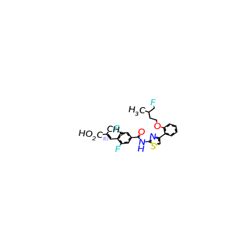 C/C(=C\c1c(F)cc(C(=O)Nc2nc(-c3ccccc3OCCC(C)CF)cs2)cc1F)C(=O)O